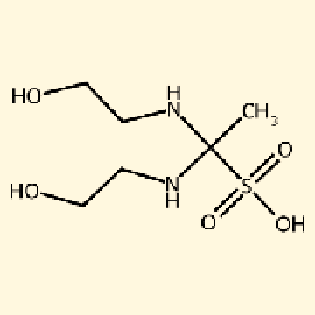 CC(NCCO)(NCCO)S(=O)(=O)O